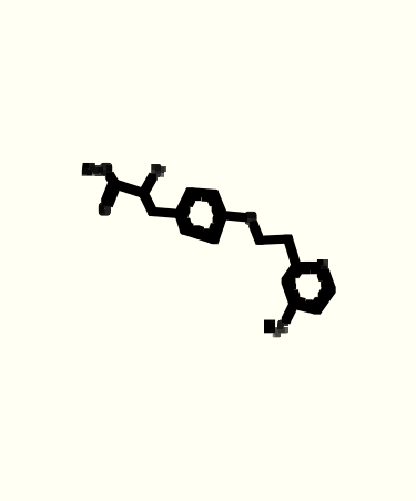 COC(=O)C(Br)Cc1ccc(OCCc2cc(C)ccn2)cc1